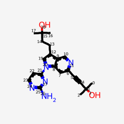 CC(C)(O)C#Cc1cc2c(cn1)c(CCC(C)(C)O)cn2-c1ccnc(N)n1